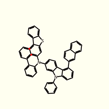 c1ccc(-c2ccccc2N(c2ccc3c(c2)sc2ccccc23)c2ccc3c4c(-c5ccc6ccccc6c5)cccc4n(-c4ccccc4)c3c2)cc1